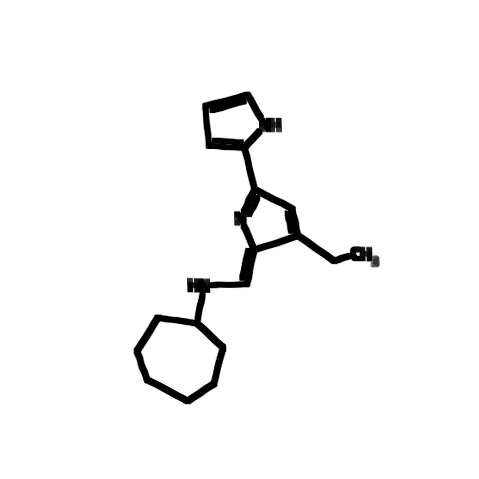 CCC1=CC(c2ccc[nH]2)=NC1=CNC1CCCCCC1